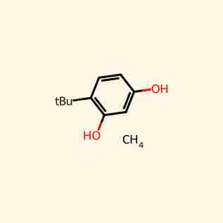 C.CC(C)(C)c1ccc(O)cc1O